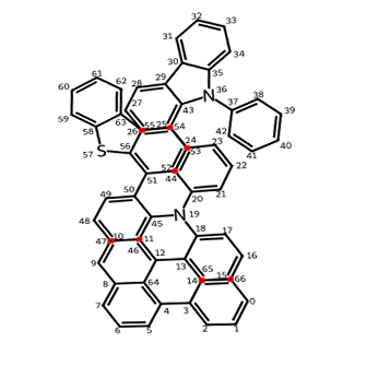 c1ccc(-c2cccc3cccc(-c4ccccc4N(c4cccc(-c5cccc6c7ccccc7n(-c7ccccc7)c56)c4)c4ccccc4-c4cccc5c4sc4ccccc45)c23)cc1